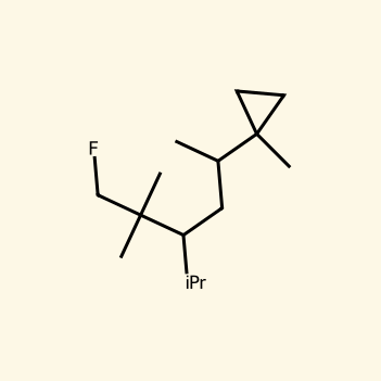 CC(C)C(CC(C)C1(C)CC1)C(C)(C)CF